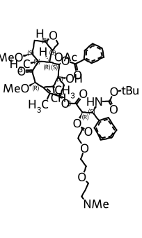 CNCCOCCOCC(=O)O[C@@H](C(=O)O[C@H]1C[C@@]2(O)[C@@H](OC(=O)c3ccccc3)[C@@H]3[C@]4(OC(C)=O)CO[C@@H]4C[C@H](OC)[C@@]3(C)C(=O)[C@H](OC)C(=C1C)C2(C)C)[C@@H](NC(=O)OC(C)(C)C)c1ccccc1